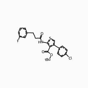 CC(C)(C)OC(=O)c1c(-c2ccc(Cl)cc2)csc1NC(=O)CCc1cccc(F)c1